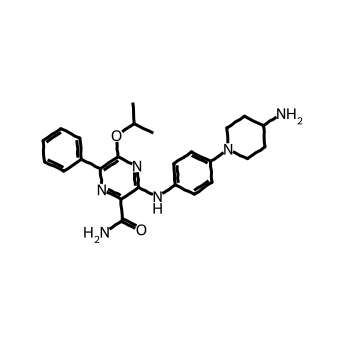 CC(C)Oc1nc(Nc2ccc(N3CCC(N)CC3)cc2)c(C(N)=O)nc1-c1ccccc1